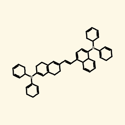 C1=CCC(N(C2=CCCC=C2)C2=CC3=C(C=C(/C=C/C4=CC=C(N(C5=CCCC=C5)C5C=CC=CC5)C5C=CC=CC45)CC3)CC2)C=C1